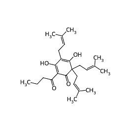 CCCC(=O)C1=C(O)C(CC=C(C)C)=C(O)C(CC=C(C)C)(CC=C(C)C)C1=O